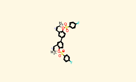 C/C=C\c1cc(-c2ccc(OS(=O)(=O)c3ccc(F)cc3)c(/C=C\C)c2)ccc1OS(=O)(=O)c1ccc(F)cc1